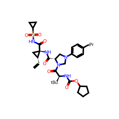 C=C[C@@H]1C[C@]1(NC(=O)[C@@H]1CN(c2ccc(C(C)C)cc2)CN1C(=O)[C@@H](NC(=O)OC1CCCC1)C(C)(C)C)C(=O)NS(=O)(=O)C1CC1